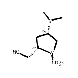 CN(C)[C@H]1C[C@@H](CO)N(C(=O)O)C1